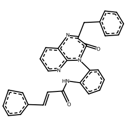 O=C(C=Cc1ccccc1)Nc1ccccc1-n1c(=O)c(Cc2ccccc2)nc2cccnc21